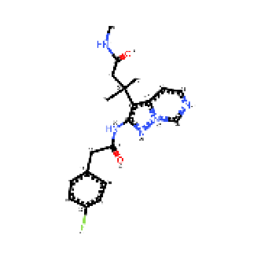 CNC(=O)CC(C)(C)c1c(NC(=O)Cc2ccc(F)cc2)nn2cnccc12